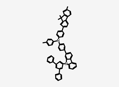 Cc1ccc(N(c2ccc(-c3ccc4c(c3)C(C)(C)c3cc(C)ccc3-4)cc2)c2ccc(-c3ccc4c5ccccc5n(-c5cc(-c6ccccc6)cc(-c6ccccc6)c5)c4c3)cc2)cc1